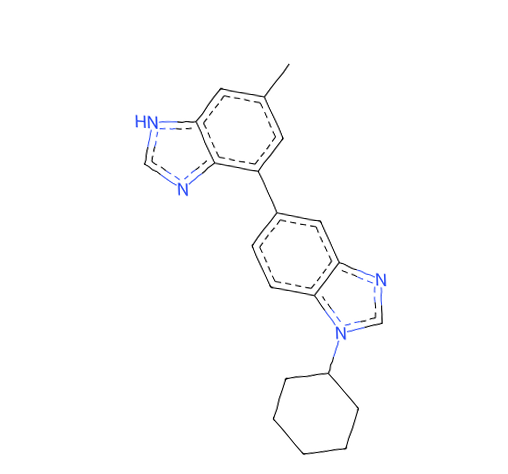 Cc1cc(-c2ccc3c(c2)ncn3C2CCCCC2)c2nc[nH]c2c1